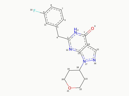 O=c1[nH]c(Cc2cccc(F)c2)nc2c1cnn2C1CCOCC1